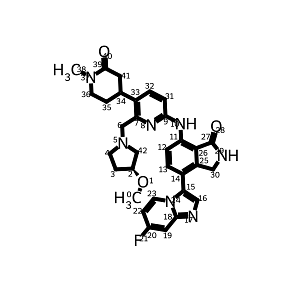 CO[C@H]1CCN(Cc2nc(Nc3ccc(-c4cnc5cc(F)ccn45)c4c3C(=O)NC4)ccc2C2CCN(C)C(=O)C2)C1